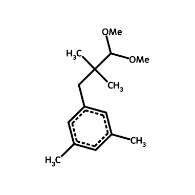 COC(OC)C(C)(C)Cc1cc(C)cc(C)c1